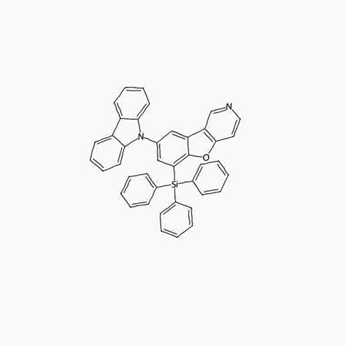 c1ccc([Si](c2ccccc2)(c2ccccc2)c2cc(-n3c4ccccc4c4ccccc43)cc3c2oc2ccncc23)cc1